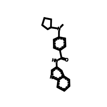 CN(c1ccc(C(=O)Nc2cnc3ccccc3c2)cc1)C1CCCC1